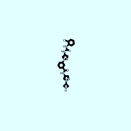 O=C(Nc1cnn(-c2cccc(C(=O)Nc3cnn(C4CNC4)c3)c2)c1)Nc1ccccc1Cl